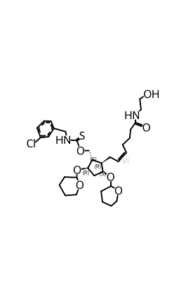 O=C(CCC/C=C\C[C@@H]1[C@@H](COC(=S)NCc2cccc(Cl)c2)[C@H](OC2CCCCO2)C[C@@H]1OC1CCCCO1)NCCO